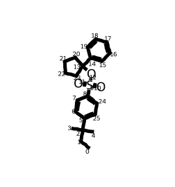 CCC(C)(C)c1ccc(S(=O)(=O)OC2(c3ccccc3)CCCC2)cc1